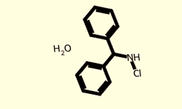 ClNC(c1ccccc1)c1ccccc1.O